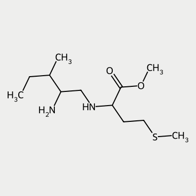 CCC(C)C(N)CNC(CCSC)C(=O)OC